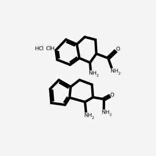 Cl.Cl.NC(=O)C1CCc2ccccc2C1N.NC(=O)C1CCc2ccccc2C1N